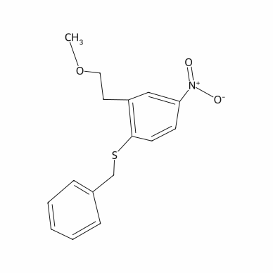 COCCc1cc([N+](=O)[O-])ccc1SCc1ccccc1